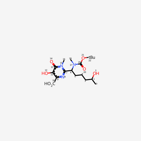 CC(O)CCCC(c1nc(C(=O)O)c(O)c(=O)n1C)N(C)C(=O)OC(C)(C)C